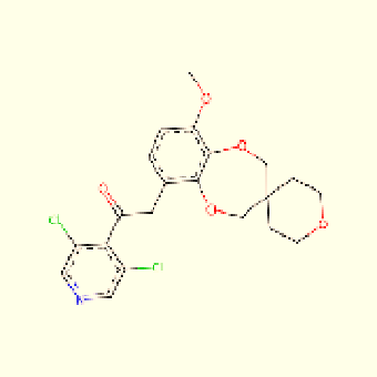 COc1ccc(CC(=O)c2c(Cl)cncc2Cl)c2c1OCC1(CCOCC1)CO2